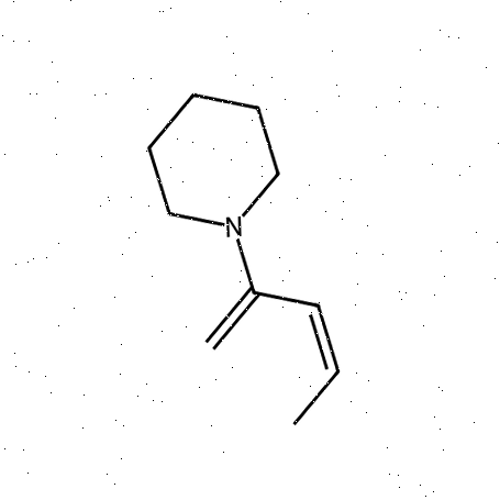 C=C(/C=C\C)N1CCCCC1